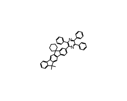 CC1(C)c2ccccc2-c2cc3c(cc21)-c1ccc(-c2nc(-c4ccccc4)c(-c4ccccc4)nc2-c2ccccc2)cc1C31CCCCC1